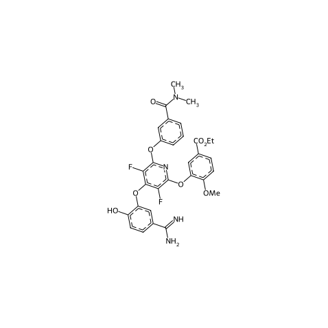 CCOC(=O)c1ccc(OC)c(Oc2nc(Oc3cccc(C(=O)N(C)C)c3)c(F)c(Oc3cc(C(=N)N)ccc3O)c2F)c1